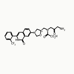 NCC(=O)CN(C[C@@H]1CN(c2ccc3cc(-c4ccccc4C(F)(F)F)[nH]c(=O)c3c2)CO1)C(=O)C(=O)O